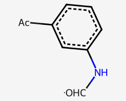 CC(=O)c1cccc(N[C]=O)c1